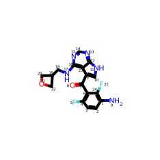 Nc1ccc(F)c(C(=O)c2c[nH]c3ncnc(NCC4COC4)c23)c1F